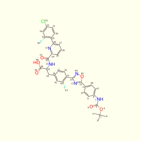 CC(C)(C)OC(=O)Nc1ccc(-c2nc(-c3ccc(CC(NC(=O)c4cccc(-c5ccc(Cl)cc5F)n4)C(=O)O)cc3F)no2)cc1